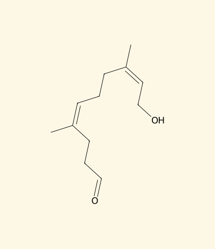 CC(=CCO)CCC=C(C)CCC=O